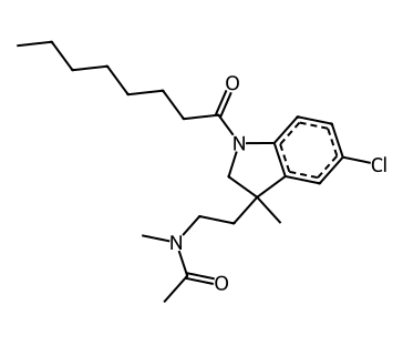 CCCCCCCC(=O)N1CC(C)(CCN(C)C(C)=O)c2cc(Cl)ccc21